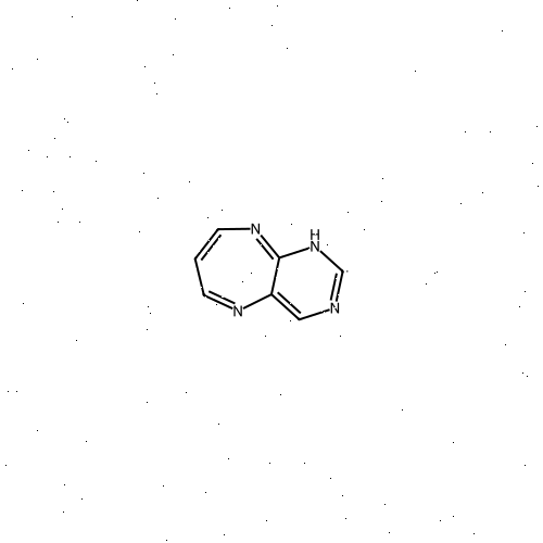 [C]1=NC=C2N=CC=CN=C2N1